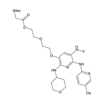 CNCC(=O)OCCOCCOc1cc(NF)c(Nc2ccc(C#N)cn2)nc1NC1CCOCC1